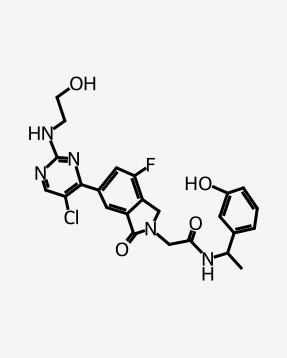 CC(NC(=O)CN1Cc2c(F)cc(-c3nc(NCCO)ncc3Cl)cc2C1=O)c1cccc(O)c1